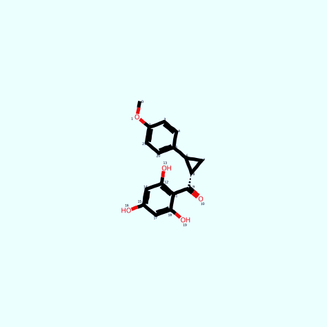 COc1ccc(C2C[C@@H]2C(=O)c2c(O)cc(O)cc2O)cc1